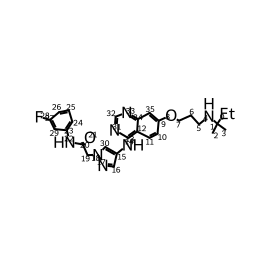 [CH2]CC(C)(C)NCCCOc1ccc2c(Nc3cnn(CC(=O)Nc4cccc(F)c4)c3)ncnc2c1